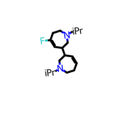 CC(C)N1CCC=CC(C2C=C(F)CCN(C(C)C)C2)C1